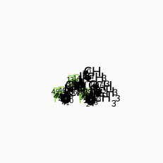 C[CH2][In]([CH2]C)[CH2]c1ccccc1C(F)(F)F.C[CH](C)[In]([CH2]c1ccccc1C(F)(F)F)[CH](C)C.[CH3][In]([CH3])[CH2]c1ccccc1C(F)(F)F